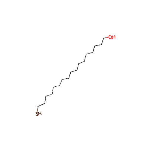 OCCCCCCCCCCCCCCCCCS